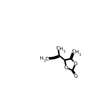 C=C=C(C)C1OC(=O)OC1=C